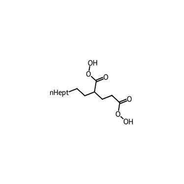 CCCCCCCCCC(CCC(=O)OO)C(=O)OO